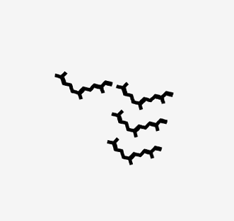 C=C/C(C)=C/C/C=C(\C)CCC=C(C)C.C=C/C(C)=C/C/C=C(\C)CCC=C(C)C.C=C/C(C)=C/C/C=C(\C)CCC=C(C)C.C=C/C(C)=C/C/C=C(\C)CCC=C(C)C